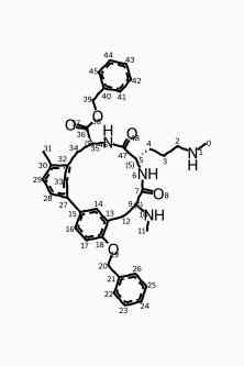 CNCCC[C@@H]1NC(=O)[C@@H](NC)Cc2cc(ccc2OCc2ccccc2)-c2ccc(C)c(c2)C[C@@H](C(=O)OCc2ccccc2)NC1=O